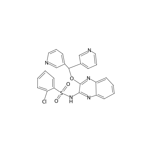 O=S(=O)(Nc1nc2ccccc2nc1OC(c1cccnc1)c1cccnc1)c1ccccc1Cl